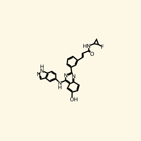 O=C(/C=C/c1cccc(-c2nc(Nc3ccc4[nH]ncc4c3)c3cc(O)ccc3n2)c1)NC1CC1F